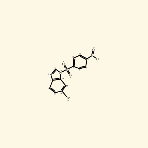 O=[N+](O)c1ccc(S(=O)(=O)n2cnc3ccc(Br)cc32)cc1